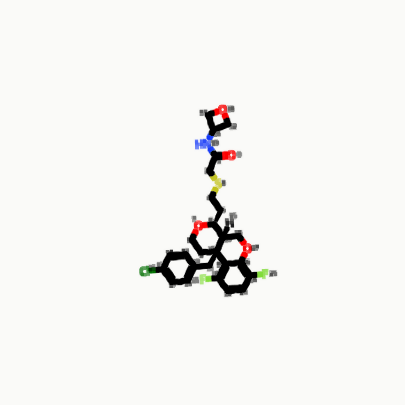 O=C(CSCC[C@@H]1OCC[C@@]2(Cc3ccc(Cl)cc3)c3c(F)ccc(F)c3OC[C@@H]12)NC1COC1